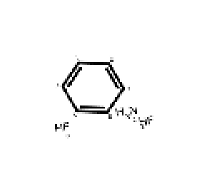 F.F.N.c1ccccc1